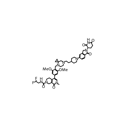 COc1cc(-c2cn(C)c(=O)c3c2CCN(C(=O)NCC(F)F)C3)cc(OC)c1CN1CCN(CCC2CCN(c3ccc4c(c3)CN(C3CCC(=O)NC3=O)C4=O)CC2)CC12CC2